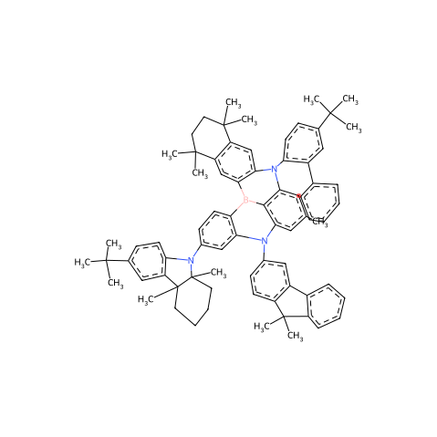 Cc1cc2c3c(c1)N(c1ccc(C(C)(C)C)cc1-c1ccccc1)c1cc4c(cc1B3c1ccc(N3c5ccc(C(C)(C)C)cc5C5(C)CCCCC35C)cc1N2c1ccc2c(c1)-c1ccccc1C2(C)C)C(C)(C)CCC4(C)C